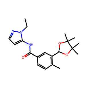 CCn1nccc1NC(=O)c1ccc(C)c(B2OC(C)(C)C(C)(C)O2)c1